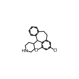 Clc1cc(Cl)c2c(c1)CCc1ccccc1C2C1CCNCC1